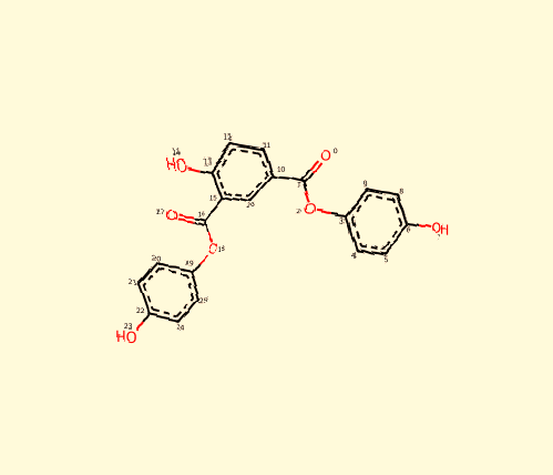 O=C(Oc1ccc(O)cc1)c1ccc(O)c(C(=O)Oc2ccc(O)cc2)c1